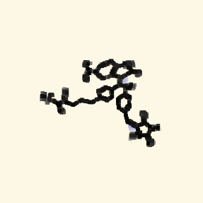 CC(=O)NCCCc1ccc(/C(Nc2ccc(/C=C3/NC(=O)NC3=O)cc2)=C2/C(=O)Nc3ccc([N+](=O)[O-])cc32)cc1